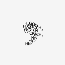 Cc1nc2c(cc(-c3nsc(N4CCNCC4)n3)n2C)c(-c2cc(F)c3c(c2C)CCCO3)c1[C@H](OC(C)(C)C)C(=O)O